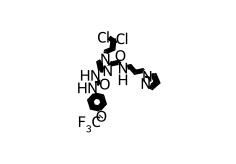 O=C(Nc1ccc(OC(F)(F)F)cc1)Nc1cn(CC=C(Cl)Cl)c(C(=O)NCCCn2cccn2)n1